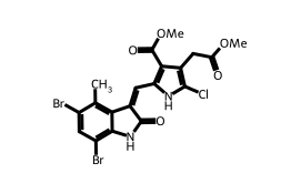 COC(=O)Cc1c(Cl)[nH]c(C=C2C(=O)Nc3c(Br)cc(Br)c(C)c32)c1C(=O)OC